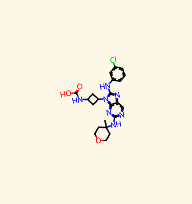 CC1(Nc2ncc3nc(Nc4cccc(Cl)c4)n(C4CC(NC(=O)O)C4)c3n2)CCOCC1